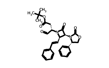 CC(C)(C)OC(=O)C[C@@H](C=O)N1C(=O)[C@@H](N2C(=O)OC[C@@H]2c2ccccc2)[C@H]1/C=C/c1ccccc1